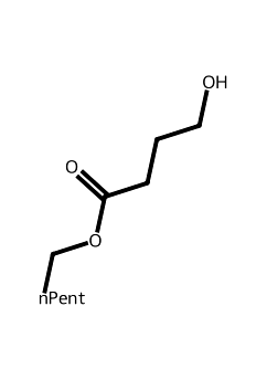 CCCCCCOC(=O)CCCO